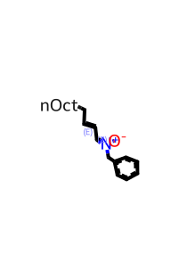 CCCCCCCCC/C=C/C=[N+](\[O-])Cc1ccccc1